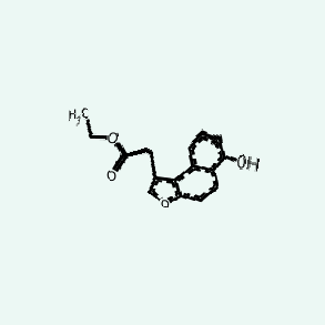 CCOC(=O)Cc1coc2ccc3c(O)cccc3c12